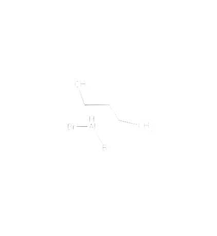 [Br][AlH][Br].[CH2]CCCC